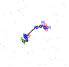 O=C1CCC(Nc2ccc(C3CCN(CCCCCCCCCC(=O)c4cnn5ccc(N6CCC[C@@H]6c6cc(F)ccc6F)nc45)CC3)cc2)C(=O)N1